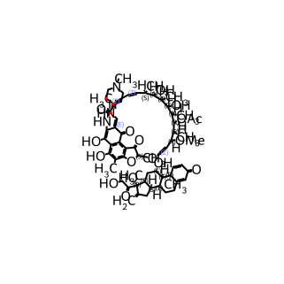 C=C1C[C@H]2[C@@H]3CCC4=CC(=O)C=C[C@]4(C)[C@H]3[C@@H](O)C[C@]2(C)[C@@]1(O)C(=O)CO.CO[C@H]1/C=C\O[C@@]2(C)Oc3c(C)c(O)c4c(c3C2=O)C(=O)/C(=C/NN2CCN(C)CC2)C(=C4O)NC(=O)/C(C)=C\C=C/[C@H](C)[C@@H](O)[C@H](C)[C@@H](O)[C@H](C)[C@@H](OC(C)=O)[C@H]1C